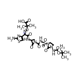 CC(C)(C)OC(=O)NN1CCN(S(=O)(=O)NC(=O)N2CC(NC(=O)/C(=N\OC(C)(C)C(=O)O)c3csc(N)n3)C2=O)C1=O